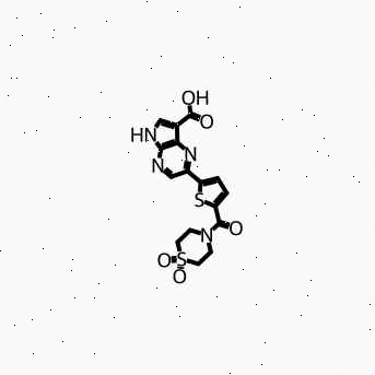 O=C(O)c1c[nH]c2ncc(-c3ccc(C(=O)N4CCS(=O)(=O)CC4)s3)nc12